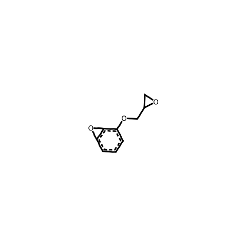 c1cc(OCC2CO2)c2c(c1)O2